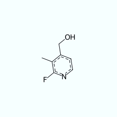 Cc1c(CO)ccnc1F